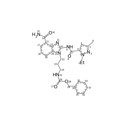 CCn1nc(C)cc1C(=O)Nc1nc2c(C(N)=O)cccc2n1CCCNC(=O)OCc1ccccc1